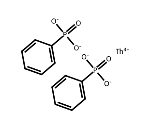 O=P([O-])([O-])c1ccccc1.O=P([O-])([O-])c1ccccc1.[Th+4]